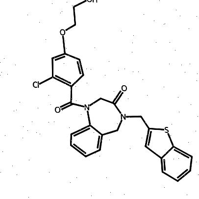 O=C1CN(C(=O)c2ccc(OCCO)cc2Cl)c2ccccc2CN1Cc1cc2ccccc2s1